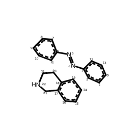 c1ccc(N=Nc2ccccc2)cc1.c1ccc2c(c1)CCNC2